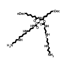 CCCCCCCCCCCCC/C=C/[C@@H](OC(=O)NCCCNCCCCNCCCN)[C@H](COC(=O)NCCCNCCCCNCCCN)NC(=O)CCCCCCCCCCCCCCC